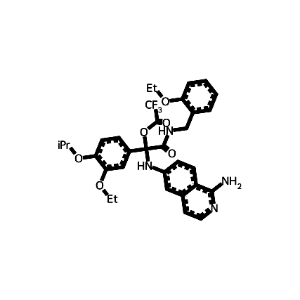 CCOc1ccccc1CNC(=O)C(Nc1ccc2c(N)nccc2c1)(OC(=O)C(F)(F)F)c1ccc(OC(C)C)c(OCC)c1